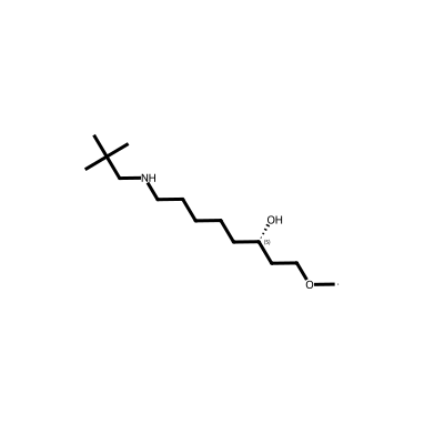 [CH2]OCC[C@@H](O)CCCCCNCC(C)(C)C